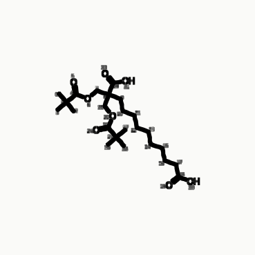 CC(C)(C)C(=O)OCC(CCCCCCCCCC(=O)O)(COC(=O)C(C)(C)C)C(=O)O